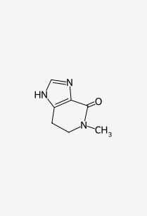 CN1CCc2[nH]cnc2C1=O